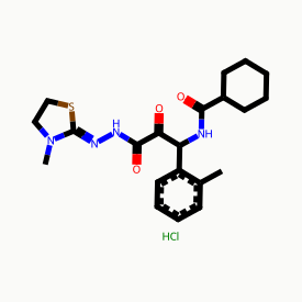 Cc1ccccc1C(NC(=O)C1CCCCC1)C(=O)C(=O)N/N=C1\SCCN1C.Cl